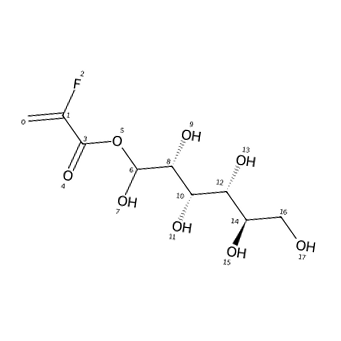 C=C(F)C(=O)OC(O)[C@H](O)[C@@H](O)[C@H](O)[C@H](O)CO